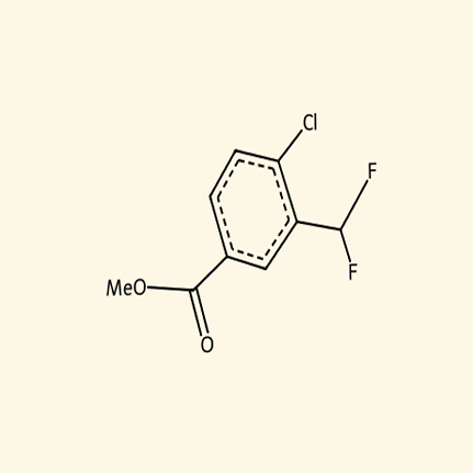 COC(=O)c1ccc(Cl)c(C(F)F)c1